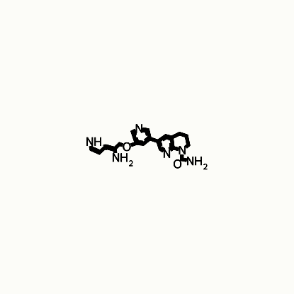 N/C=C\C=C(/N)COc1cncc(-c2cnc3c(c2)CCCN3C(N)=O)c1